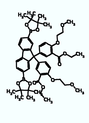 CCOC(=O)c1cc(C2(c3ccc(OCCOC)c(C(=O)OCC)c3)c3cc(B4OC(C)(C)C(C)(C)O4)ccc3-c3ccc(B4OC(C)(C)C(C)(C)O4)cc32)ccc1OCCOC